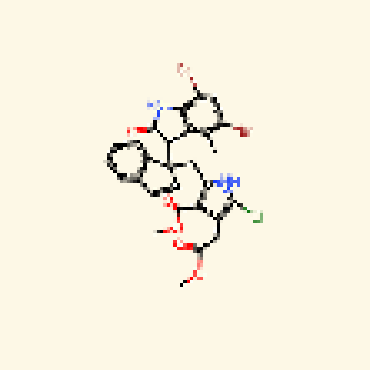 COC(=O)Cc1c(Cl)[nH]c(CC2(C3C(=O)Nc4c(Br)cc(Br)c(C)c43)C=Cc3ccccc32)c1C(=O)OC